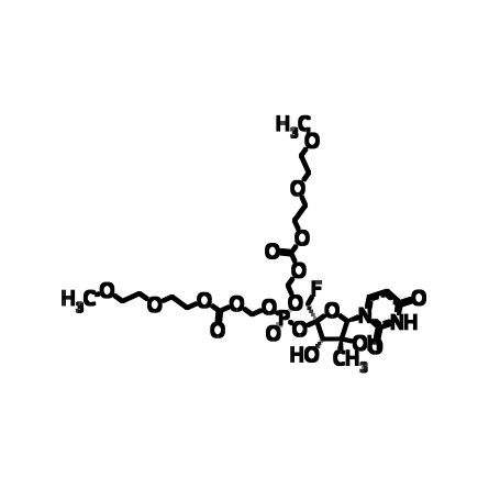 COCCOCCOC(=O)OCOP(=O)(OCOC(=O)OCCOCCOC)O[C@@]1(CF)O[C@@H](n2ccc(=O)[nH]c2=O)[C@](C)(O)[C@@H]1O